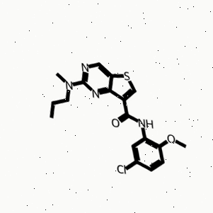 CCCN(C)c1ncc2scc(C(=O)Nc3cc(Cl)ccc3OC)c2n1